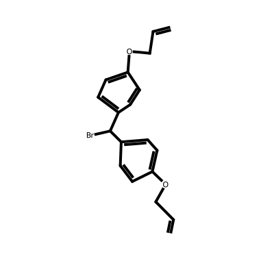 C=CCOc1ccc(C(Br)c2ccc(OCC=C)cc2)cc1